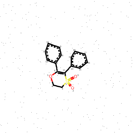 O=S1(=O)CCOC(c2ccccc2)=C1c1ccccc1